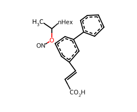 CCCCCCC(C)ON=O.O=C(O)C=Cc1cccc(-c2ccccc2)c1